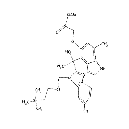 COC(=O)COc1cc(C)c2[nH]ccc2c1C(C)(O)c1nc2ccc(C#N)cc2n1COCC[Si](C)(C)C